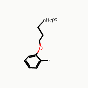 [CH2]c1ccccc1OCCCCCCCCCC